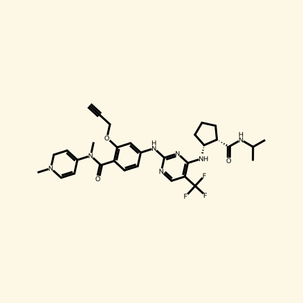 C#CCOc1cc(Nc2ncc(C(F)(F)F)c(N[C@@H]3CCC[C@@H]3C(=O)NC(C)C)n2)ccc1C(=O)N(C)C1=CCN(C)C=C1